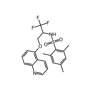 Cc1cc(C)c(S(=O)(=O)NC(COc2cccc3ncccc23)C(F)(F)F)c(C)c1